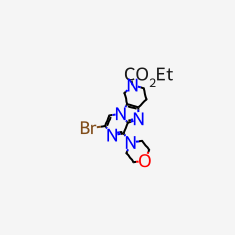 CCOC(=O)N1CCc2nc3c(N4CCOCC4)nc(Br)cn3c2C1